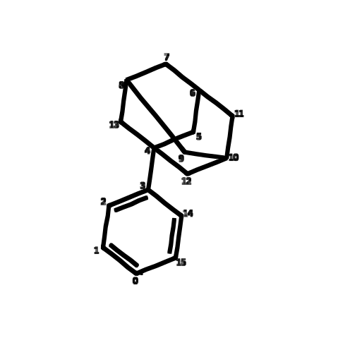 [c]1ccc(C23CC4CC(CC(C4)C2)C3)cc1